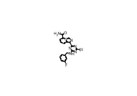 CCc1nc(NCc2cccc(F)c2)nc(-c2ncn3c(C(N)=O)cccc23)n1